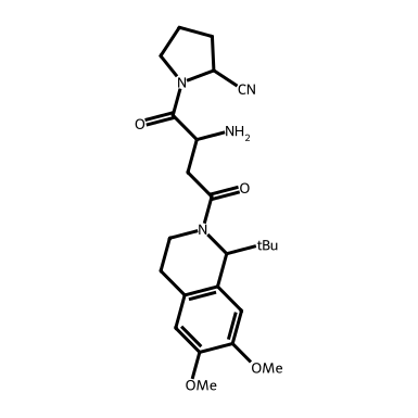 COc1cc2c(cc1OC)C(C(C)(C)C)N(C(=O)CC(N)C(=O)N1CCCC1C#N)CC2